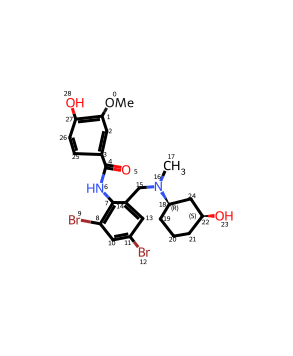 COc1cc(C(=O)Nc2c(Br)cc(Br)cc2CN(C)[C@@H]2CCC[C@H](O)C2)ccc1O